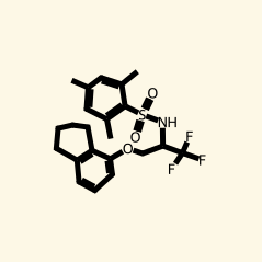 Cc1cc(C)c(S(=O)(=O)NC(COc2cccc3c2CCCC3)C(F)(F)F)c(C)c1